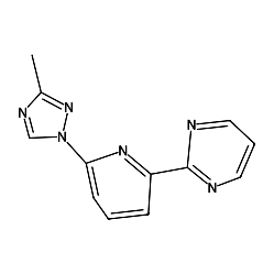 Cc1ncn(-c2cccc(-c3ncccn3)n2)n1